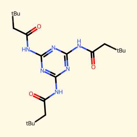 CC(C)(C)CC(=O)Nc1nc(NC(=O)CC(C)(C)C)nc(NC(=O)CC(C)(C)C)n1